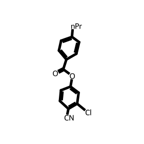 CCCc1ccc(C(=O)Oc2ccc(C#N)c(Cl)c2)cc1